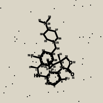 C[C@H](Nc1ncc(F)c(N2C(=O)OC[C@@]2(C)C2CC2)n1)c1ccc(CN2CCC(N(C)C)CC2)cc1F